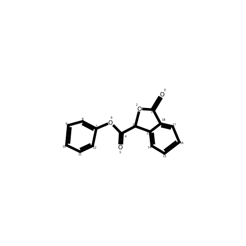 O=C1OC(C(=O)Oc2ccccc2)c2ccccc21